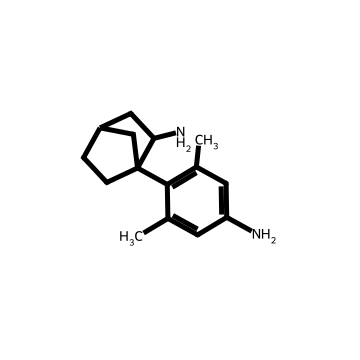 Cc1cc(N)cc(C)c1C12CCC(CC1N)C2